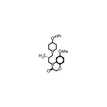 CCCOC1CCN(C[C@@H](C)CN2C(=O)COc3ccc(OC)cc32)CC1